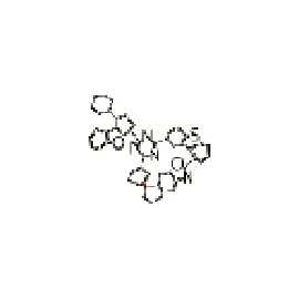 c1ccc(-c2nc(-c3ccc4sc5cccc(-c6nc7cc8ccccc8cc7o6)c5c4c3)nc(-c3ccc(-c4ccccc4)c4c3oc3ccccc34)n2)cc1